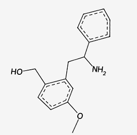 COc1ccc(CO)c(CC(N)c2ccccc2)c1